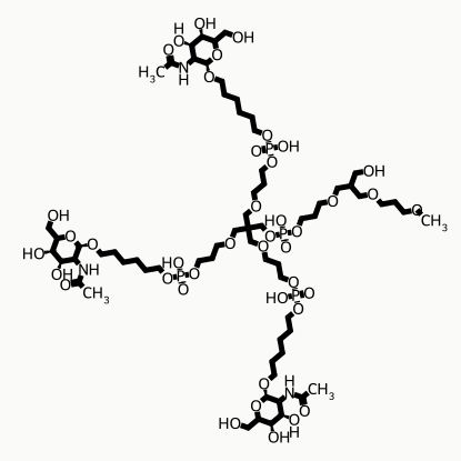 COCCCOCC(CO)COCCCOP(=O)(O)OCC(COCCCOP(=O)(O)OCCCCCCO[C@@H]1OC(CO)[C@H](O)[C@H](O)C1NC(C)=O)(COCCCOP(=O)(O)OCCCCCCO[C@@H]1OC(CO)[C@H](O)[C@H](O)C1NC(C)=O)COCCCOP(=O)(O)OCCCCCCO[C@@H]1OC(CO)[C@H](O)[C@H](O)C1NC(C)=O